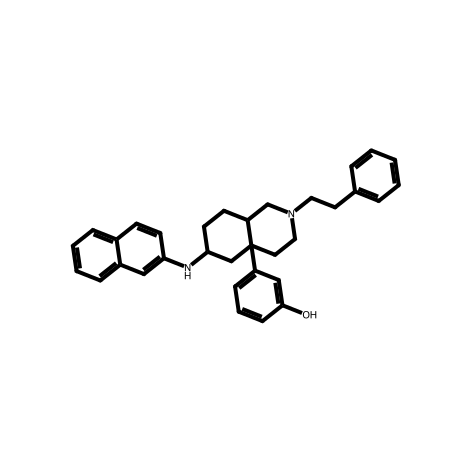 Oc1cccc(C23CCN(CCc4ccccc4)CC2CCC(Nc2ccc4ccccc4c2)C3)c1